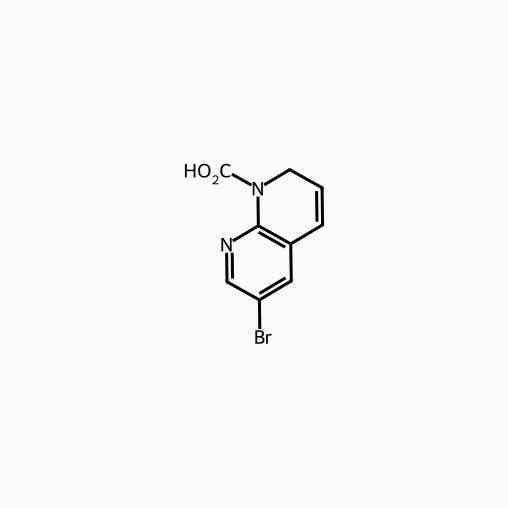 O=C(O)N1CC=Cc2cc(Br)cnc21